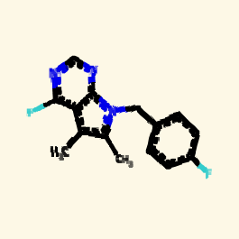 Cc1c(C)n(Cc2ccc(F)cc2)c2ncnc(F)c12